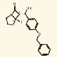 O=C1[C@H](C(O)c2ccc(OCc3ccccc3)cc2)[C@@H]2SCCN12